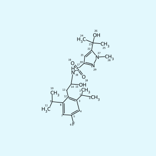 CC(C)c1cc(F)cc(C(C)C)c1CC(O)NS(=O)(=O)c1cc(C(C)(C)O)n(C)n1